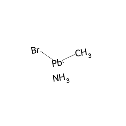 N.[CH3][Pb][Br]